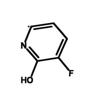 Oc1n[c]ccc1F